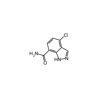 NC(=O)c1ccc(Cl)c2cn[nH]c12